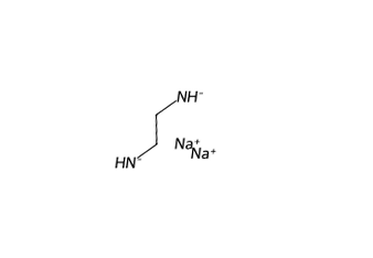 [NH-]CC[NH-].[Na+].[Na+]